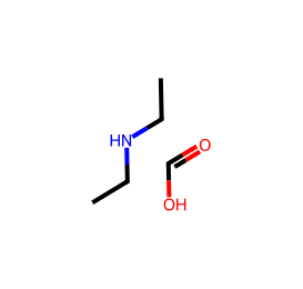 CCNCC.O=CO